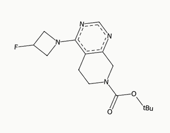 CC(C)(C)OC(=O)N1CCc2c(ncnc2N2CC(F)C2)C1